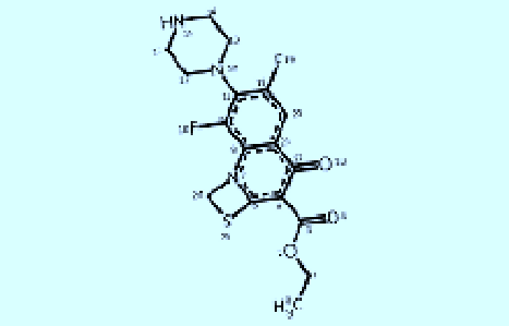 CCOC(=O)c1c2n(c3c(F)c(N4CCNCC4)c(F)cc3c1=O)CS2